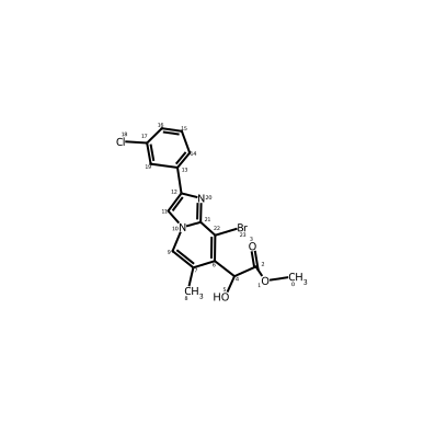 COC(=O)C(O)c1c(C)cn2cc(-c3cccc(Cl)c3)nc2c1Br